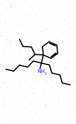 CCCCCC(N)(CCCCC)C1(C(C)CCC)C=CC=[C]C1